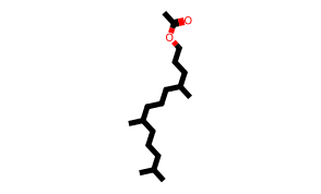 CC(=O)OCCCC(C)CCCC(C)CCCC(C)C